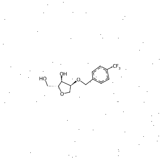 OC[C@H]1OC[C@H](OCc2ccc(C(F)(F)F)cc2)[C@@H]1O